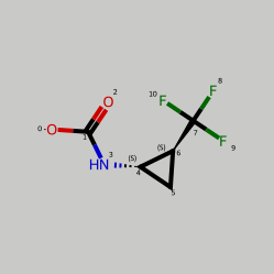 [O]C(=O)N[C@H]1C[C@@H]1C(F)(F)F